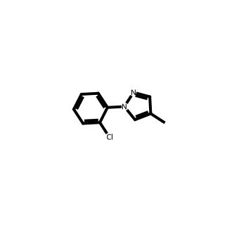 Cc1cnn(-c2ccccc2Cl)c1